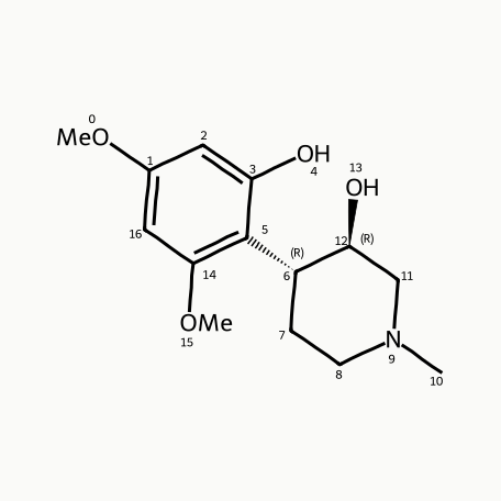 COc1cc(O)c([C@H]2CCN(C)C[C@@H]2O)c(OC)c1